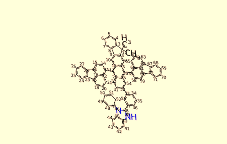 CC1(C)c2ccccc2-c2cc3c(-c4ccc5c6c(cccc46)-c4ccccc4-5)c4ccc(-c5cccc(C6Nc7ccccc7N6C6C=CC=CC6)c5)cc4c(-c4ccc5c6c(cccc46)-c4ccccc4-5)c3cc21